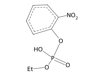 CCOP(=O)(O)Oc1ccccc1[N+](=O)[O-]